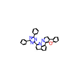 c1ccc(-c2nc(-c3ccccc3)nc(-c3ccc4cccc(-c5nccc6c5oc5ccccc56)c4n3)n2)cc1